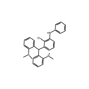 CCc1c(Nc2ccccc2)cccc1C(c1ccccc1N(C)C)c1ccccc1N(C)C